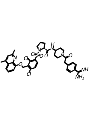 Cc1cc(C)c2cccc(OCc3c(Cl)ccc(S(=O)(=O)N4CCC[C@H]4C(=O)NC4CCN(C(=O)Cc5ccc(C(=N)N)cc5)CC4)c3Cl)c2n1